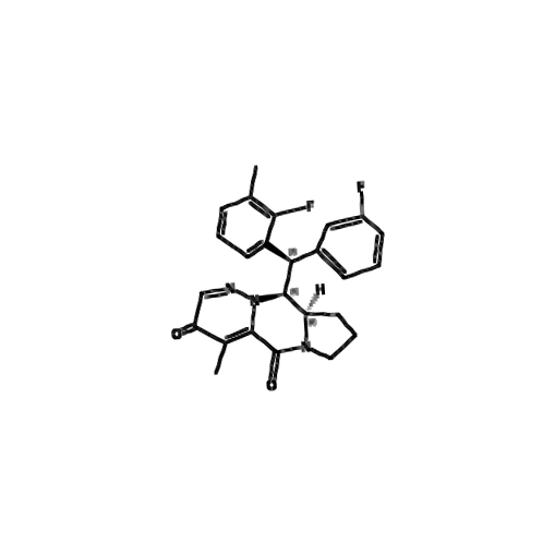 Cc1cccc([C@@H](c2cccc(F)c2)[C@H]2[C@H]3CCCN3C(=O)c3c(C)c(=O)cnn32)c1F